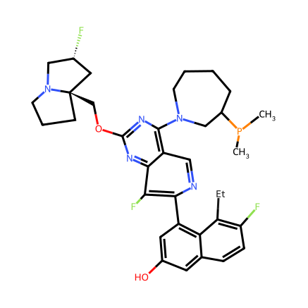 CCc1c(F)ccc2cc(O)cc(-c3ncc4c(N5CCCCC(P(C)C)C5)nc(OC[C@@]56CCCN5C[C@H](F)C6)nc4c3F)c12